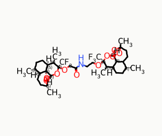 C[C@@H]1CC[C@H]2[C@@H](C)[C@](OCCNC(=O)CO[C@@]3(C(F)(F)F)O[C@@H]4O[C@]5(C)CC[C@H]6[C@H](C)CC[C@@H]([C@H]3C)[C@@]46OO5)(C(F)(F)F)O[C@@H]3OC4(C)CCC1[C@]32OO4